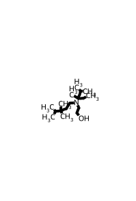 CCC(C)(C(C)C)N(CCO)CCC(C)(C)C(C)C